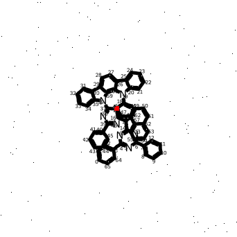 c1ccc(-c2nc(-c3ccccc3)nc(-c3ccc(-n4c5ccccc5c5ccc6c7ccccc7n(-c7nc(-c8ccccc8)nc(-c8cccc9ccccc89)n7)c6c54)cc3)n2)cc1